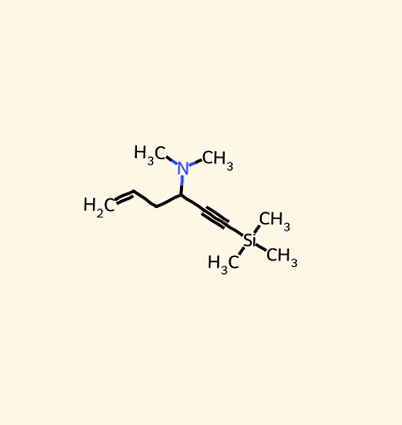 C=CCC(C#C[Si](C)(C)C)N(C)C